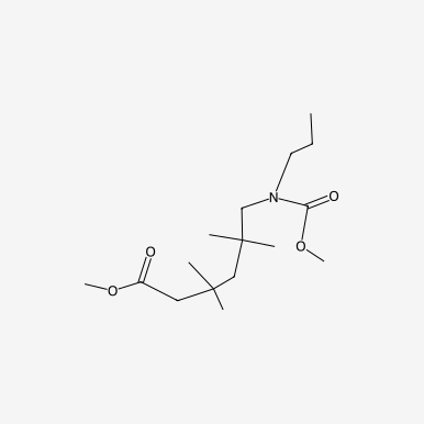 CCCN(CC(C)(C)CC(C)(C)CC(=O)OC)C(=O)OC